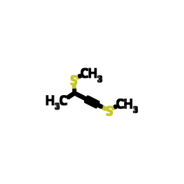 CSC#CC(C)SC